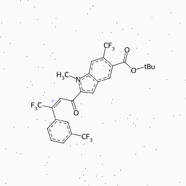 Cn1c(C(=O)/C=C(\c2cccc(C(F)(F)F)c2)C(F)(F)F)cc2cc(C(=O)OC(C)(C)C)c(C(F)(F)F)cc21